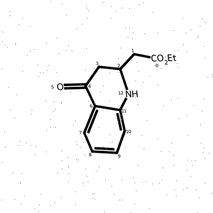 CCOC(=O)CC1CC(=O)c2ccccc2N1